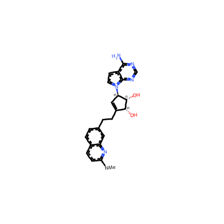 CNc1ccc2ccc(CCC3=C[C@@H](n4ccc5c(N)ncnc54)[C@H](O)[C@@H]3O)cc2n1